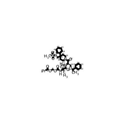 CC(C)C(=O)OCOC(=O)NC(C)(C)C(=O)N[C@H](COC(C)c1ccccc1)C(=O)N1CCC2(CC1)CN(S(C)(=O)=O)c1ccccc12